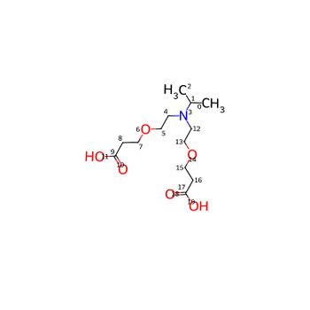 CC(C)N(CCOCCC(=O)O)CCOCCC(=O)O